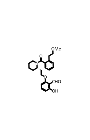 COCCc1ccccc1C(=O)N1CCCC[C@H]1CCOc1cccc(O)c1C=O